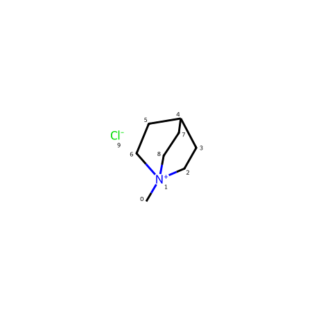 C[N+]12CCC(CC1)CC2.[Cl-]